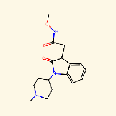 CONC(=O)CC1C(=O)N(C2CCN(C)CC2)c2ccccc21